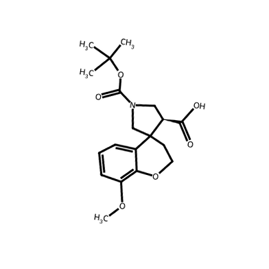 COc1cccc2c1OCCC21CN(C(=O)OC(C)(C)C)C[C@H]1C(=O)O